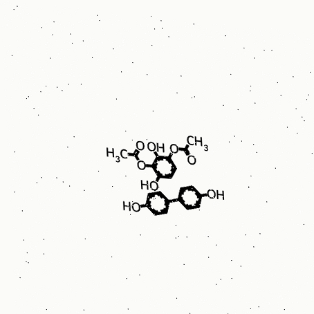 CC(=O)Oc1ccc(O)c(OC(C)=O)c1O.Oc1ccc(-c2ccc(O)cc2)cc1